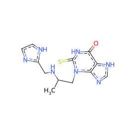 CC(Cn1c(=S)[nH]c(=O)c2[nH]cnc21)NCc1ncc[nH]1